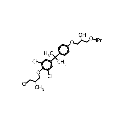 CC(C)OC[C@@H](O)COc1ccc(C(C)(C)c2cc(Cl)c(OC[C@H](C)CCl)c(Cl)c2)cc1